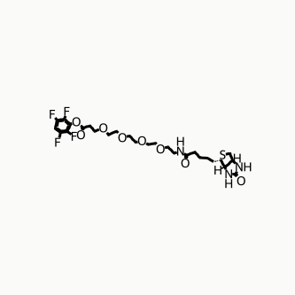 O=C(CCCC[C@@H]1SC[C@@H]2NC(=O)N[C@@H]21)NCCOCCOCCOCCOCCC(=O)Oc1c(F)c(F)cc(F)c1F